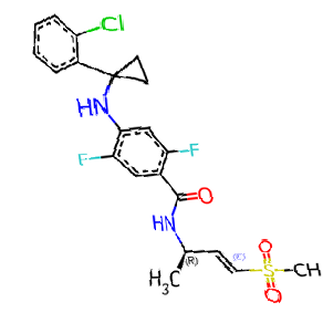 C[C@H](/C=C/S(C)(=O)=O)NC(=O)c1cc(F)c(NC2(c3ccccc3Cl)CC2)cc1F